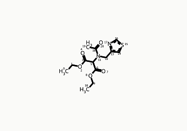 CCOC(=O)C(C(=O)OCC)N(Cc1cscn1)C(C)=O